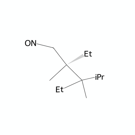 CCC(C)(C(C)C)[C@](C)(CC)CN=O